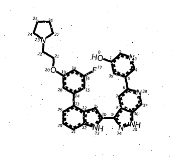 Oc1cncc(-c2cc3c(-c4cc5c(-c6cc(F)cc(OCCN7CCCC7)c6)cccc5[nH]4)n[nH]c3cn2)c1